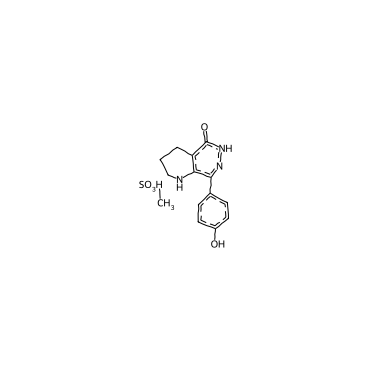 CS(=O)(=O)O.O=c1[nH]nc(-c2ccc(O)cc2)c2c1CCCN2